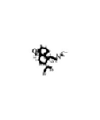 [C-]#[N+]CC[C@]1(C)C2=CCCC[C@]2(CO)CC[C@H]1C(=C)C